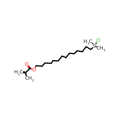 C=C(C)C(=O)OCCCCCCCCCCCCCC[Si](C)(C)Cl